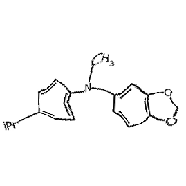 CC(C)c1ccc(N(C)c2ccc3c(c2)OCO3)cc1